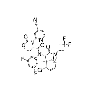 CC1([C@@H](C(=O)NC2CC(F)(F)C2)N(C(=O)[C@@H]2CCOC(=O)N2c2cc(C#N)ccn2)c2cc(F)cc(F)c2)C=CC=CC1Cl